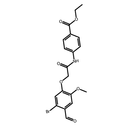 CCOC(=O)c1ccc(NC(=O)COc2cc(Br)c(C=O)cc2OC)cc1